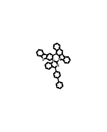 c1ccc(-c2ccc(-c3nc(-n4c5ccccc5c5cc6ccccc6c(-c6ccc7sc8ccccc8c7c6)c54)nc4ccccc34)cc2)cc1